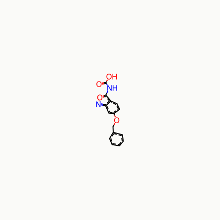 O=C(O)Nc1onc2cc(OCc3ccccc3)ccc12